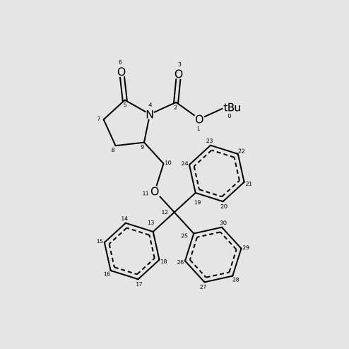 CC(C)(C)OC(=O)N1C(=O)CCC1COC(c1ccccc1)(c1ccccc1)c1ccccc1